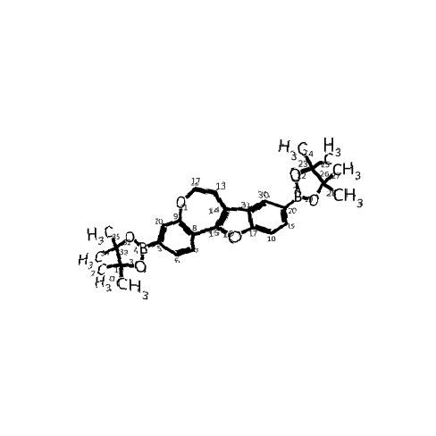 CC1(C)OB(c2ccc3c(c2)OCCc2c-3oc3ccc(B4OC(C)(C)C(C)(C)O4)cc23)OC1(C)C